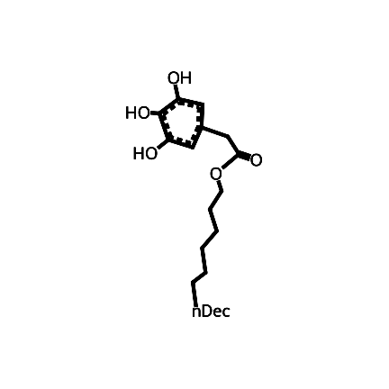 CCCCCCCCCCCCCCCCOC(=O)Cc1cc(O)c(O)c(O)c1